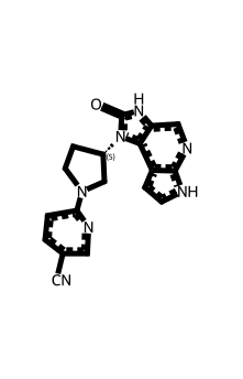 N#Cc1ccc(N2CC[C@H](n3c(=O)[nH]c4cnc5[nH]ccc5c43)C2)nc1